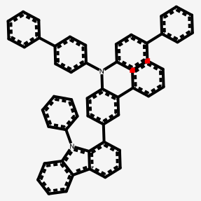 c1ccc(-c2ccc(N(c3ccc(-c4ccccc4)cc3)c3ccc(-c4cccc5c6ccccc6n(-c6ccccc6)c45)cc3-c3ccccc3)cc2)cc1